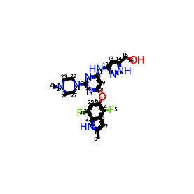 Cc1cc2c(F)c(Oc3cc(Nc4cc(CO)[nH]n4)nc(N4CCN(C)CC4)n3)cc(F)c2[nH]1